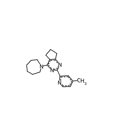 Cc1ccnc(-c2nc3c(c(N4CCCCCC4)n2)CCC3)c1